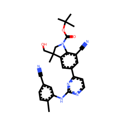 Cc1ccc(C#N)cc1Nc1nccc(-c2cc(C#N)c3c(c2)C(C)(CO)CN3C(=O)OC(C)(C)C)n1